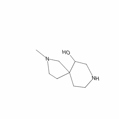 CN1CCC2(CCNCC2O)C1